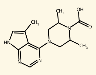 Cc1c[nH]c2ncnc(N3CC(C)N(C(=O)O)C(C)C3)c12